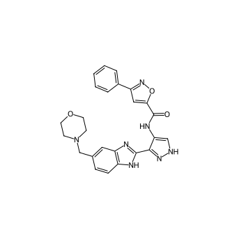 O=C(Nc1c[nH]nc1-c1nc2cc(CN3CCOCC3)ccc2[nH]1)c1cc(-c2ccccc2)no1